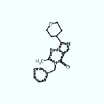 Cc1nn2c(C3CCOCC3)ncc2c(=O)n1Cc1ccccc1